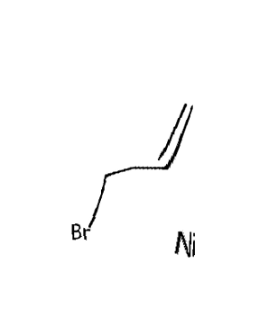 C=CCBr.[Ni]